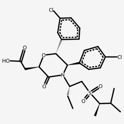 CC[C@@H](CS(=O)(=O)[C@H](C)C(C)C)N1C(=O)[C@@H](CC(=O)O)O[C@H](c2cccc(Cl)c2)[C@H]1c1ccc(Cl)cc1